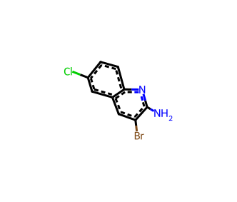 Nc1nc2ccc(Cl)cc2cc1Br